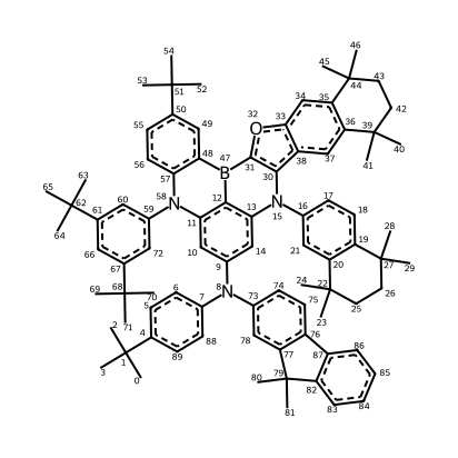 CC(C)(C)c1ccc(N(c2cc3c4c(c2)N(c2ccc5c(c2)C(C)(C)CCC5(C)C)c2c(oc5cc6c(cc25)C(C)(C)CCC6(C)C)B4c2cc(C(C)(C)C)ccc2N3c2cc(C(C)(C)C)cc(C(C)(C)C)c2)c2ccc3c(c2)C(C)(C)c2ccccc2-3)cc1